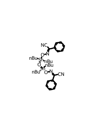 CCC[CH2][Sn]([CH2]CCC)([O]N=C(C#N)c1ccccc1)[O][Sn]([CH2]CCC)([CH2]CCC)[O]N=C(C#N)c1ccccc1